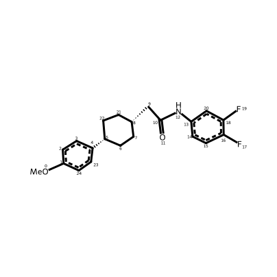 COc1ccc([C@H]2CC[C@@H](CC(=O)Nc3ccc(F)c(F)c3)CC2)cc1